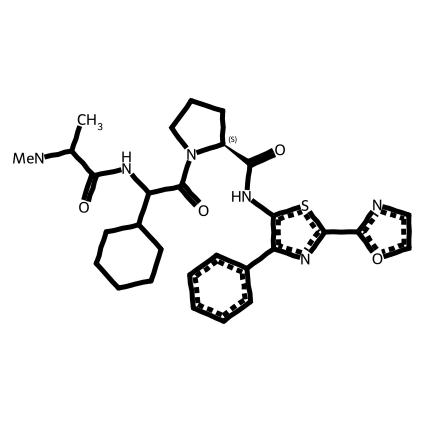 CNC(C)C(=O)NC(C(=O)N1CCC[C@H]1C(=O)Nc1sc(-c2ncco2)nc1-c1ccccc1)C1CCCCC1